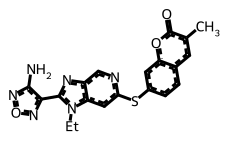 CCn1c(-c2nonc2N)nc2cnc(Sc3ccc4cc(C)c(=O)oc4c3)cc21